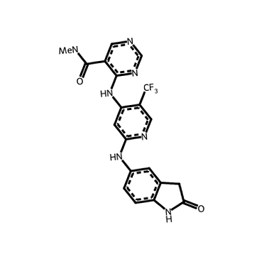 CNC(=O)c1cncnc1Nc1cc(Nc2ccc3c(c2)CC(=O)N3)ncc1C(F)(F)F